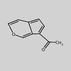 CC(=O)c1ccc2ccocc1-2